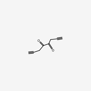 C#CCC(=O)C(=O)CC#C